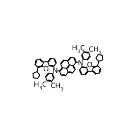 Cc1ccc(N(c2ccc3ccc4c(N(c5ccc(C)c(C)c5)c5cccc6c5oc5c(C7CCCC7)cccc56)ccc5ccc2c3c54)c2cccc3c2oc2c(C4CCCC4)cccc23)cc1C